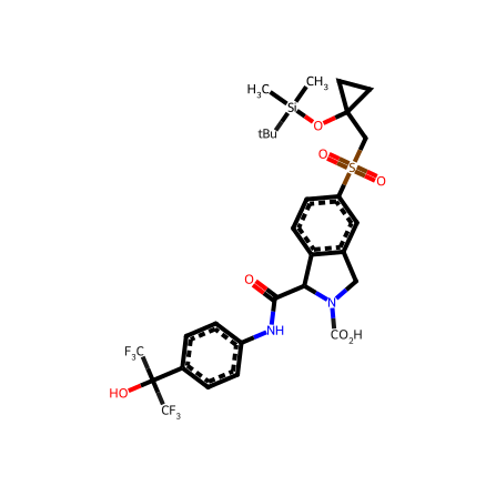 CC(C)(C)[Si](C)(C)OC1(CS(=O)(=O)c2ccc3c(c2)CN(C(=O)O)C3C(=O)Nc2ccc(C(O)(C(F)(F)F)C(F)(F)F)cc2)CC1